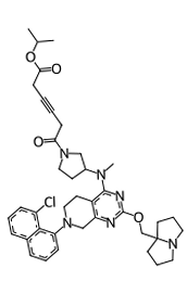 CC(C)OC(=O)CC#CCC(=O)N1CCC(N(C)c2nc(OCC34CCCN3CCC4)nc3c2CCN(c2cccc4cccc(Cl)c24)C3)C1